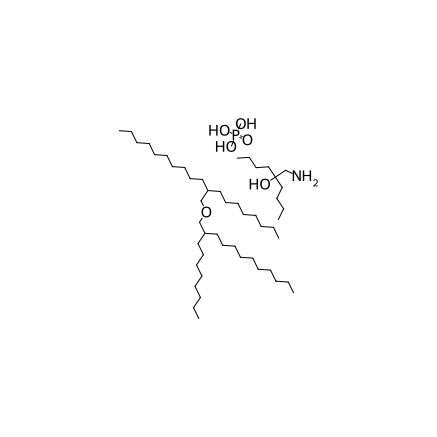 CCCCC(O)(CN)CCCC.CCCCCCCCCCC(CCCCCCCC)COCC(CCCCCCCC)CCCCCCCCCC.O=P(O)(O)O